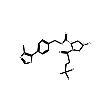 Cc1ncsc1-c1ccc(CNC(=O)[C@@H]2C[C@@H](O)CN2C(=O)CCC(F)(F)F)cc1